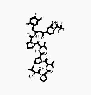 CC(C)C(N)C(=O)N1CCCC1C(=O)NC(C(=O)N1CCCC1C(=O)NC(C(=O)N1CCCC1C(=O)NC(CC(=O)C1CCn2c(nnc2C(F)(F)F)C1)Cc1cc(F)c(F)cc1F)C(C)C)C(C)C